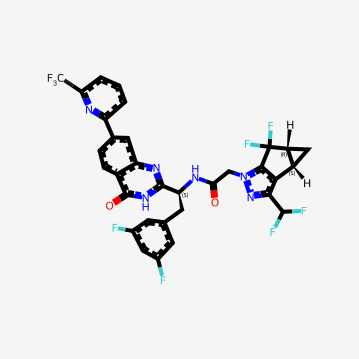 O=C(Cn1nc(C(F)F)c2c1C(F)(F)[C@@H]1C[C@H]21)N[C@@H](Cc1cc(F)cc(F)c1)c1nc2cc(-c3cccc(C(F)(F)F)n3)ccc2c(=O)[nH]1